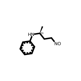 C[C@@H](CCN=O)Nc1ccccc1